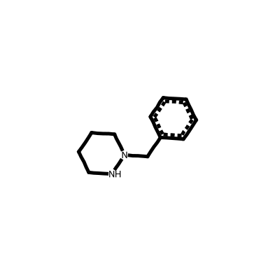 c1ccc(CN2CCCCN2)cc1